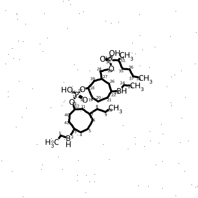 CCBC1CCCC(CCC)CC(OP(=O)(O)OC2CCCC(BCC)CC(COP(=O)(O)C(C)CCCC)C2)CC1